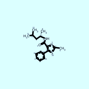 Cc1nc(C(=O)N[C@@H](C)CC(C)C)c(-c2ccccc2)s1